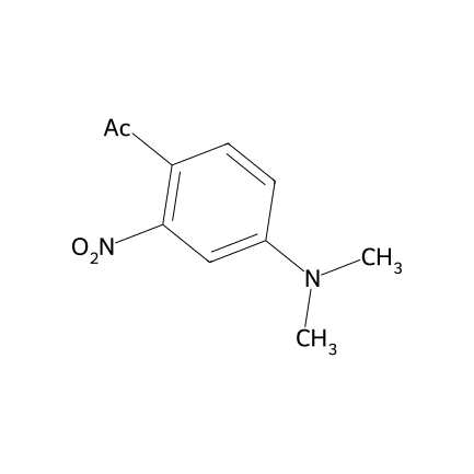 CC(=O)c1ccc(N(C)C)cc1[N+](=O)[O-]